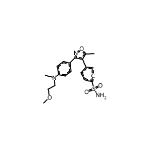 COCCN(C)c1ccc(-c2noc(C)c2-c2ccc(S(N)(=O)=O)cc2)cc1